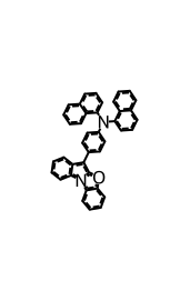 c1ccc2c(N(c3ccc(-c4c5ccccc5n5c4oc4ccccc45)cc3)c3cccc4ccccc34)cccc2c1